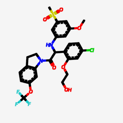 COc1cc(NC(C(=O)N2CCc3ccc(OC(F)(F)F)cc32)c2ccc(Cl)cc2OCCO)cc(S(C)(=O)=O)c1